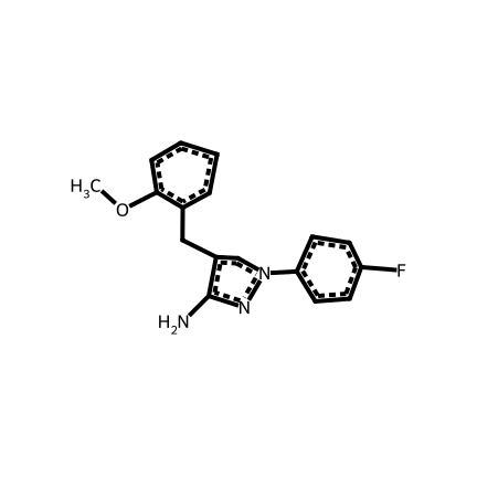 COc1ccccc1Cc1cn(-c2ccc(F)cc2)nc1N